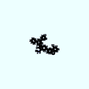 C/C=C\c1c(C)n(-c2cc(-c3ccccc3)nc(-c3ccccc3)n2)c2ccc(-c3ccc4oc5cccc(C)c5c4c3)cc12